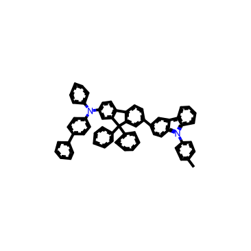 Cc1ccc(-n2c3ccccc3c3cc(-c4ccc5c(c4)C(c4ccccc4)(c4ccccc4)c4cc(N(c6ccccc6)c6ccc(-c7ccccc7)cc6)ccc4-5)ccc32)cc1